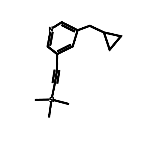 C[Si](C)(C)C#Cc1cncc(CC2CC2)c1